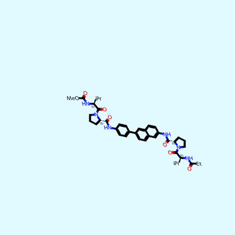 CCC(=O)N[C@H](C(=O)N1CCC[C@H]1C(=O)Nc1ccc2cc(-c3ccc(NC(=O)[C@@H]4CCCN4C(=O)[C@@H](NC(=O)OC)C(C)C)cc3)ccc2c1)C(C)C